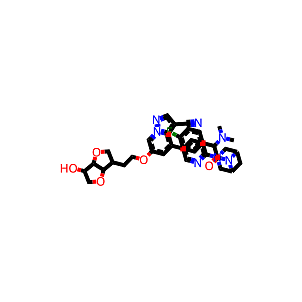 CN(C)C(C(=O)N1C2CC1CN(c1ccc(-c3cc(OCCC4COC5C(O)COC45)cn4ncc(C#N)c34)cn1)C2)c1ccc(F)cc1